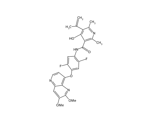 C=C(C)c1c(C)nc(C)c(C(=O)Nc2cc(F)c(Oc3ccnc4cc(OC)c(OC)nc34)cc2F)c1O